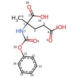 CC(CCC(=O)O)(NC(=O)Oc1ccccc1)C(=O)O